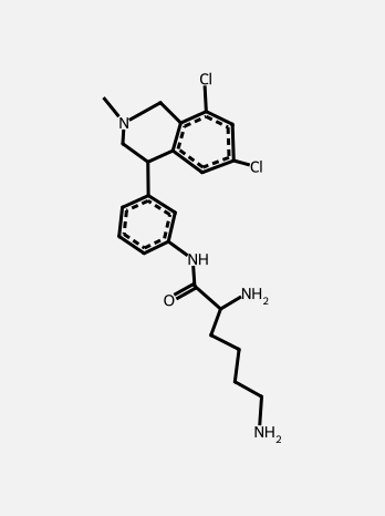 CN1Cc2c(Cl)cc(Cl)cc2C(c2cccc(NC(=O)C(N)CCCCN)c2)C1